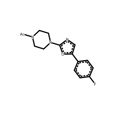 CC(=O)N1CCN(c2ncc(-c3ccc(F)cc3)o2)CC1